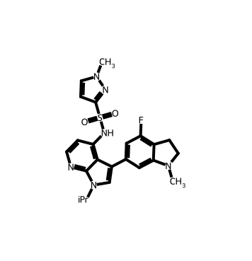 CC(C)n1cc(-c2cc(F)c3c(c2)N(C)CC3)c2c(NS(=O)(=O)c3ccn(C)n3)ccnc21